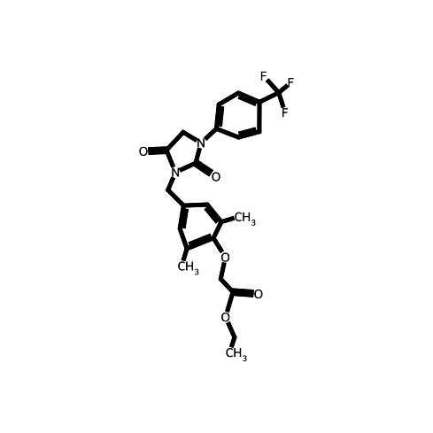 CCOC(=O)COc1c(C)cc(CN2C(=O)CN(c3ccc(C(F)(F)F)cc3)C2=O)cc1C